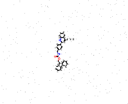 O=C(NCc1ccc(-c2cc(C(=O)O)c3ccccc3n2)cc1)OCC1c2ccccc2-c2ccccc21